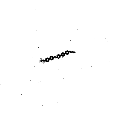 CCCCCC1CCC(c2ccc(C3CCC(/C=C/C4CCC(C5CCC(/C(F)=C/C(F)(F)F)CC5)CC4)CC3)c(F)c2)CC1